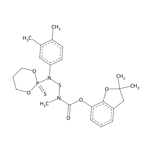 Cc1ccc(N(SN(C)C(=O)Oc2cccc3c2OC(C)(C)C3)P2(=S)OCCCO2)cc1C